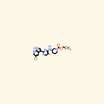 CCOC(=O)N1CCCC(Nc2nc(-c3c[nH]c4ncc(Cl)cc34)ncc2F)C1